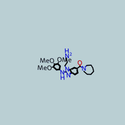 COc1cc(Nc2nc3ccc(C(=O)N4CCCCCCC4)cc3n2CCCN)cc(OC)c1OC